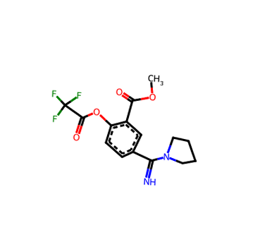 COC(=O)c1cc(C(=N)N2CCCC2)ccc1OC(=O)C(F)(F)F